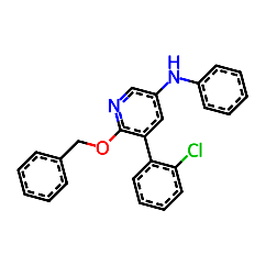 Clc1ccccc1-c1cc(Nc2ccccc2)cnc1OCc1ccccc1